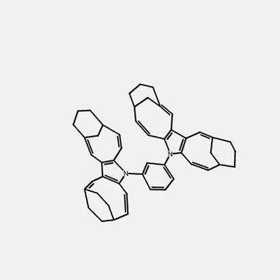 C1=C2CCC(/C=C\c3c1c1c(n3-c3cccc(-n4c5c(c6c4/C=C\C4CCC/C(=C/6)C4)/C=C4/CCCC(/C=C\5)C4)c3)/C=C\C3CCC/C(=C/1)C3)CC2